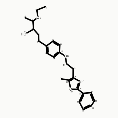 CCOC(C)C(O)CCc1ccc(OCCc2nc(-c3ccccc3)oc2C)cc1